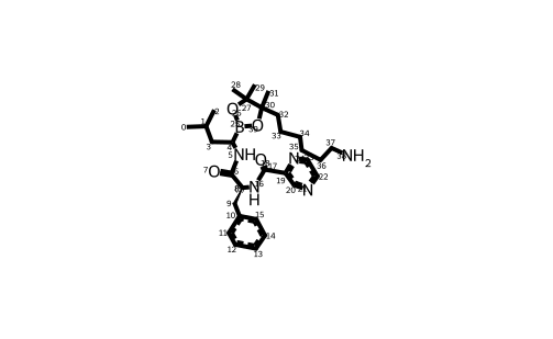 CC(C)CC(NC(=O)[C@H](Cc1ccccc1)NC(=O)c1cnccn1)B1OC(C)(C)C(C)(CCCCCCN)O1